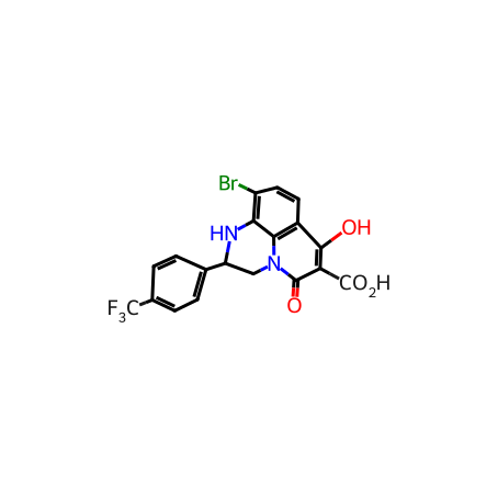 O=C(O)c1c(O)c2ccc(Br)c3c2n(c1=O)CC(c1ccc(C(F)(F)F)cc1)N3